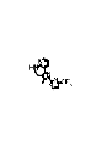 Cc1c2c(nn1-c1nccc(C(F)(F)F)n1)-c1cccnc1NCC2